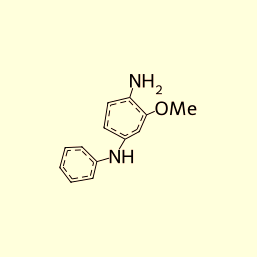 COc1cc(Nc2ccccc2)ccc1N